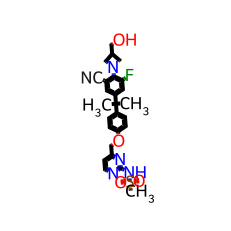 CC(C)(c1ccc(OCc2ccnc(NS(C)(=O)=O)n2)cc1)c1cc(F)c(N2CC(CO)C2)c(C#N)c1